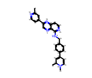 Cc1cc(-c2cnc3c(NCc4ccc(C5=CC(C)N(C)C=C5)cc4)nccc3n2)ccn1